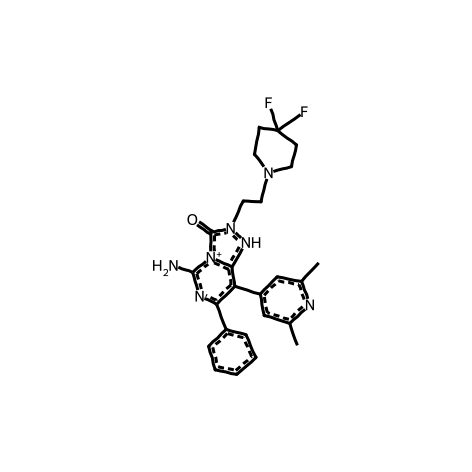 Cc1cc(-c2c(-c3ccccc3)nc(N)[n+]3c(=O)n(CCN4CCC(F)(F)CC4)[nH]c23)cc(C)n1